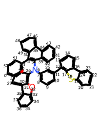 c1ccc(-c2c(N(c3cccc(-c4cccc5c4sc4ccccc45)c3)c3cccc4c3oc3ccccc34)c3ccccc3c3ccccc23)cc1